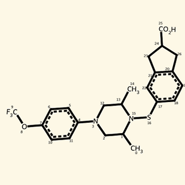 CC1CN(c2ccc(OC(F)(F)F)cc2)CC(C)N1Sc1ccc2c(c1)CC(C(=O)O)C2